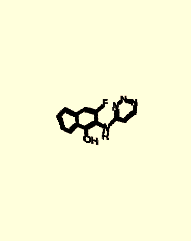 Oc1c(Nc2ccnnn2)c(F)cc2ccccc12